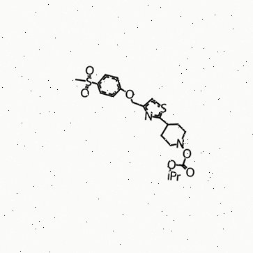 CC(C)OC(=O)ON1CCC(c2nc(COc3ccc(S(C)(=O)=O)cc3)cs2)CC1